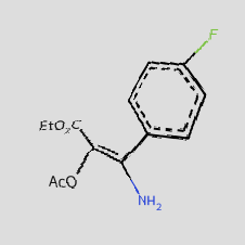 CCOC(=O)/C(OC(C)=O)=C(/N)c1ccc(F)cc1